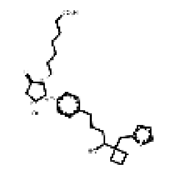 O=C(O)CCCCCC[C@H]1C(=O)C[C@@H](O)[C@H]1c1ccc(CCCC(O)C2(Cc3cccs3)CCC2)cc1